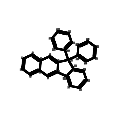 [c]1ccc2cc3c(cc2c1)-c1ccccc1C3(c1ccccc1)c1ccccc1